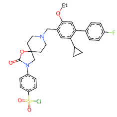 CCOc1cc(-c2ccc(F)cc2)c(C2CC2)cc1CN1CCC2(CC1)CN(c1ccc(S(=O)(=O)Cl)cc1)C(=O)O2